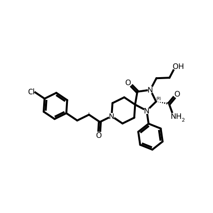 NC(=O)[C@H]1N(CCO)C(=O)C2(CCN(C(=O)[CH]Cc3ccc(Cl)cc3)CC2)N1c1ccccc1